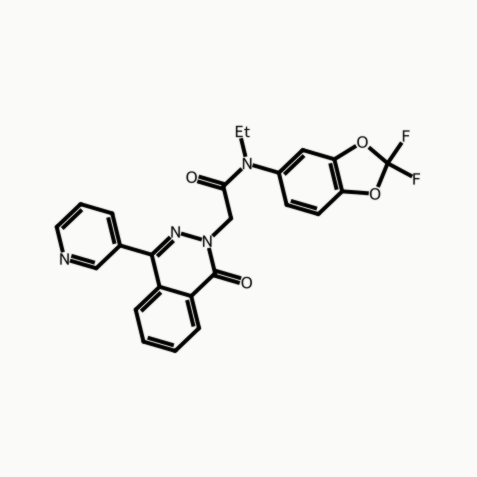 CCN(C(=O)Cn1nc(-c2cccnc2)c2ccccc2c1=O)c1ccc2c(c1)OC(F)(F)O2